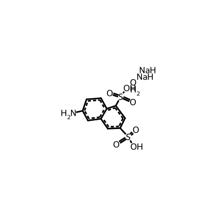 Nc1ccc2c(S(=O)(=O)O)cc(S(=O)(=O)O)cc2c1.O.[NaH].[NaH]